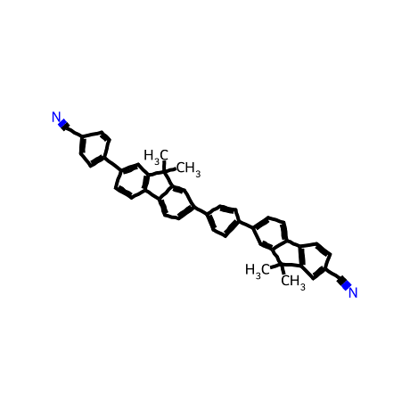 CC1(C)c2cc(C#N)ccc2-c2ccc(-c3ccc(-c4ccc5c(c4)C(C)(C)c4cc(-c6ccc(C#N)cc6)ccc4-5)cc3)cc21